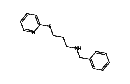 c1ccc(CNCCCSc2ccccn2)cc1